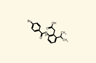 CC(C)c1cccc(NC(=O)c2ccc(Br)cc2)c1CC(=O)O